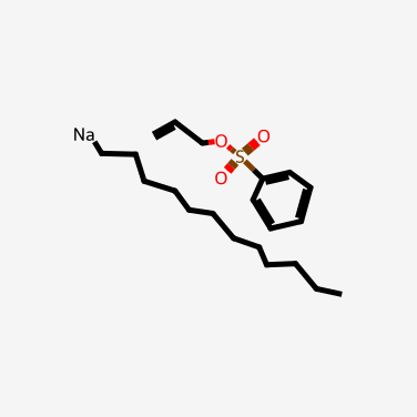 C=CCOS(=O)(=O)c1ccccc1.CCCCCCCCCCC[CH2][Na]